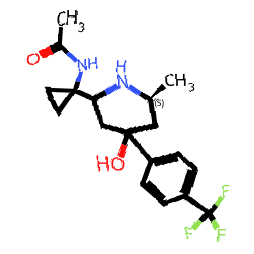 CC(=O)NC1(C2CC(O)(c3ccc(C(F)(F)F)cc3)C[C@H](C)N2)CC1